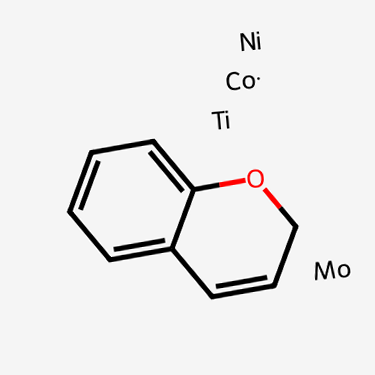 C1=Cc2ccccc2OC1.[Co].[Mo].[Ni].[Ti]